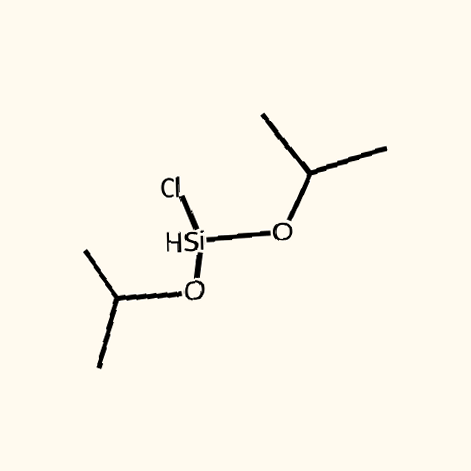 CC(C)O[SiH](Cl)OC(C)C